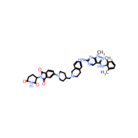 Cc1cccc(C)c1Nc1nn(C)c2nc(Nc3ccc4c(c3)CCN(CC3CCN(c5ccc6c(c5)C(=O)N(C5CCC(=O)NC5=O)C6=O)CC3)C4)ncc12